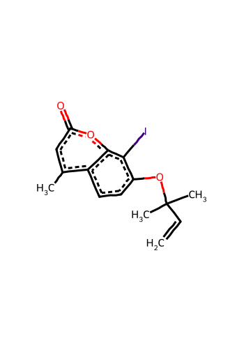 C=CC(C)(C)Oc1ccc2c(C)cc(=O)oc2c1I